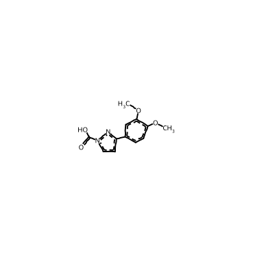 COc1ccc(-c2ccn(C(=O)O)n2)cc1OC